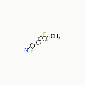 CCCC1C(F)Cc2c(ccc3cc(-c4ccc(C#N)c(F)c4)ccc23)C1F